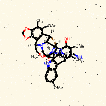 COc1ccc2[nH]c3c(c2c1)C[C@@H](CN)N[C@]31CS[C@@H]2c3c(OC(C)=O)c(C)c4c(c3[C@H](COC1=O)N1[C@@H]2[C@@H]2c3c(cc(C)c(OC)c3O)C[C@@H]([C@@H]1C)N2C)OCO4